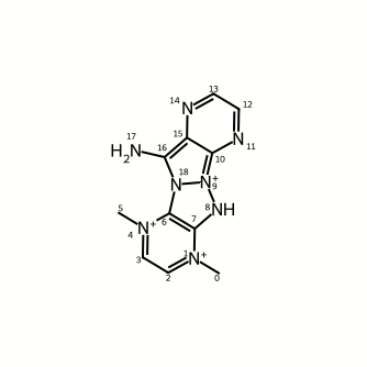 C[n+]1cc[n+](C)c2c1[nH][n+]1c3nccnc3c(N)n21